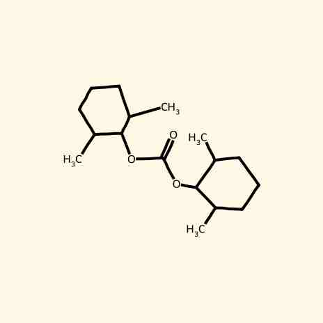 CC1CCCC(C)C1OC(=O)OC1C(C)CCCC1C